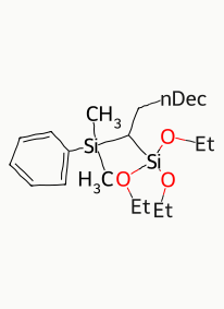 CCCCCCCCCCCC([Si](OCC)(OCC)OCC)[Si](C)(C)c1ccccc1